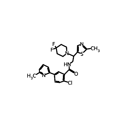 Cc1cccc(-c2ccc(Cl)c(C(=O)NCC(c3cnc(C)s3)N3CCC(F)(F)CC3)c2)n1